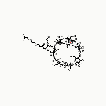 CN[C@H](CSCC1O[C@H]2O[C@@H]3C(CO)O[C@H](O[C@@H]4C(CO)O[C@H](O[C@@H]5C(CO)O[C@@H](O[C@@H]6C(CSC[C@@H](CC(=O)CCOCCOCCC(C)=O)C(=O)NCCS)O[C@H](O[C@@H]7C(CO)O[C@@H](O[C@@H]8C(CO)O[C@@H](O[C@H]1[C@H](O)C2O)C(O)[C@H]8O)C(O)[C@H]7O)C(O)[C@H]6O)C(O)[C@H]5O)C(O)[C@H]4O)[C@@H](O)C3O)C(=O)NCCS